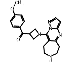 COc1ccc(C(=O)C2CN(c3c4c(nc5ccnn35)CCNCC4)C2)cc1